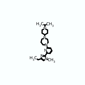 CCc1cn(C)c(-c2cccc(N3CCCN(C4CCN(C(C)C)CC4)CC3)n2)n1